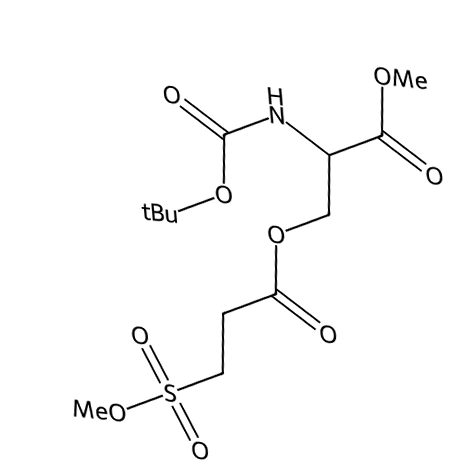 COC(=O)C(COC(=O)CCS(=O)(=O)OC)NC(=O)OC(C)(C)C